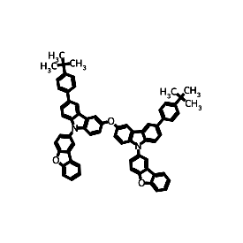 CC(C)(C)c1ccc(-c2ccc3c(c2)c2cc(Oc4ccc5c(c4)c4cc(-c6ccc(C(C)(C)C)cc6)ccc4n5-c4ccc5oc6ccccc6c5c4)ccc2n3-c2ccc3oc4ccccc4c3c2)cc1